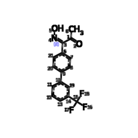 CC(=O)/C(=N\O)c1ccc(-c2cccc(C(F)(F)F)c2)cc1